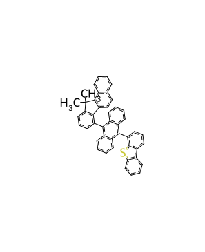 CC1(C)c2cccc(-c3c4ccccc4c(-c4cccc5c4sc4ccccc45)c4ccccc34)c2-c2ccc3ccccc3c21